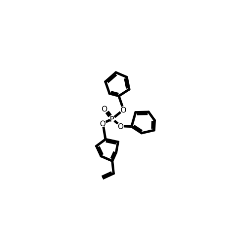 C=Cc1ccc(OP(=O)(Oc2ccccc2)Oc2ccccc2)cc1